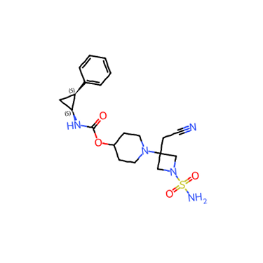 N#CCC1(N2CCC(OC(=O)N[C@H]3C[C@H]3c3ccccc3)CC2)CN(S(N)(=O)=O)C1